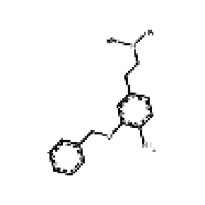 CCCN(CCC)CCc1ccc(N)c(OCc2ccccc2)c1